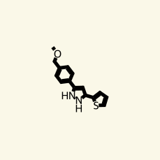 COCc1ccc(C2=CC(c3cccs3)NN2)cc1